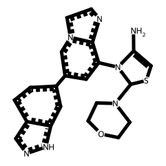 NC1=CSC(N2CCOCC2)N1c1cc(-c2ccc3cn[nH]c3c2)cn2ccnc12